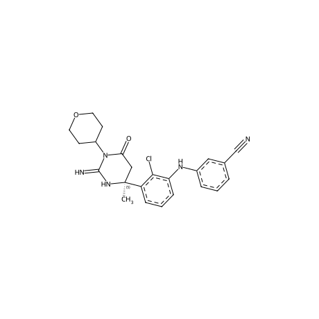 C[C@@]1(c2cccc(Nc3cccc(C#N)c3)c2Cl)CC(=O)N(C2CCOCC2)C(=N)N1